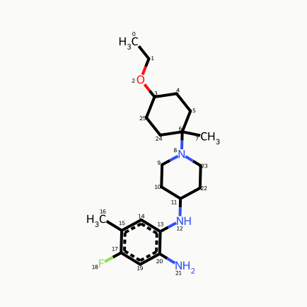 CCOC1CCC(C)(N2CCC(Nc3cc(C)c(F)cc3N)CC2)CC1